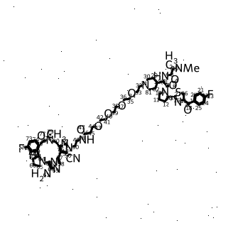 CN[C@H](C)C(=O)N[C@@H](C(=O)N1CCC[C@@H]1C1=NC(C(=O)c2ccc(F)cc2)CS1)C1CCN(CCOCCOCCOCCOCCC(=O)NCCn2nc3c(c2C#N)-c2cnc(N)c(n2)N2CCC[C@@H]2c2cc(F)ccc2C(=O)N(C)C3)CC1